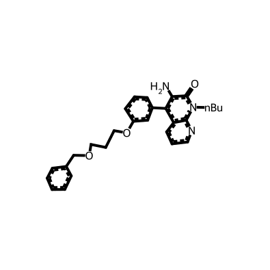 CCCCn1c(=O)c(N)c(-c2cccc(OCCCOCc3ccccc3)c2)c2cccnc21